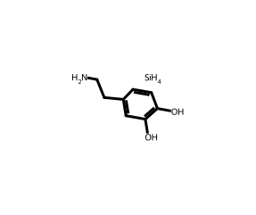 NCCc1ccc(O)c(O)c1.[SiH4]